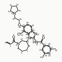 C=CC(=O)N1CCCCC(n2c(NC(=O)c3cc(C)nc(C)c3)nc3ccc(OCCN4CCCC4)c(Cl)c32)C1